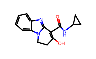 O=C(NC1CC1)C1=C(O)CCn2c1nc1ccccc12